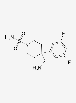 NCC1(c2cc(F)cc(F)c2)CCN(S(N)(=O)=O)CC1